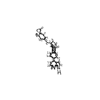 COc1ccc(CC23CC(CN(c4ccc(-c5ccnc6[nH]cc(C)c56)cn4)C2)N3)cn1